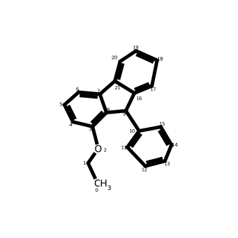 CCOc1cccc2c1C(c1ccccc1)c1ccccc1-2